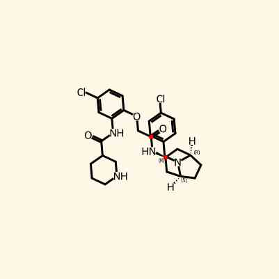 O=C(COc1ccc(Cl)cc1NC(=O)C1CCCNC1)N[C@H]1C[C@H]2CC[C@@H](C1)N2Cc1ccc(Cl)cc1